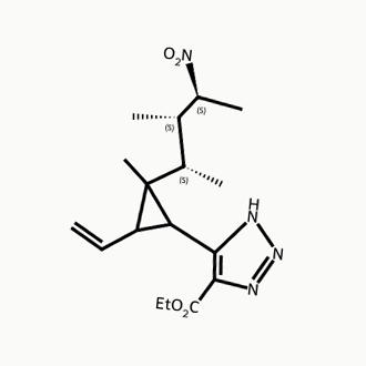 C=CC1C(c2[nH]nnc2C(=O)OCC)C1(C)[C@@H](C)[C@H](C)[C@H](C)[N+](=O)[O-]